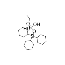 CC[O][Ti]([OH])([OH])[O][Si](C1CCCCC1)(C1CCCCC1)C1CCCCC1